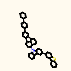 c1ccc(-c2ccc(-c3ccc4c(c3)-c3cccc5c(-n6c7ccccc7c7cc(-c8ccc9sc%10ccccc%10c9c8)ccc76)ccc-4c35)cc2)cc1